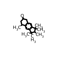 CC1CC(=O)Cc2cc3c(cc21)C(C)(C)C(C)C3(C)C